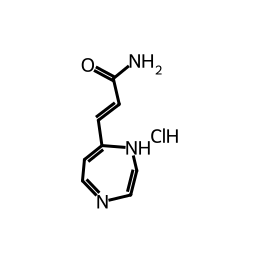 Cl.NC(=O)C=CC1=CC=NC=CN1